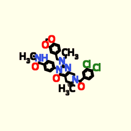 CCN(Cc1ccc2c(c1)OCO2)c1nc2c(c(=O)n1-c1ccc(C(=O)NC)cc1)C[C@@H](C)N(C(=O)c1ccc(Cl)c(Cl)c1)C2